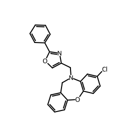 Clc1ccc2c(c1)N(Cc1coc(-c3ccccc3)n1)Cc1ccccc1O2